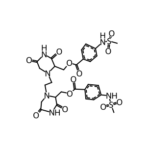 CS(=O)(=O)Nc1ccc(C(=O)OCC2C(=O)NC(=O)CN2CCN2CC(=O)NC(=O)C2COC(=O)c2ccc(NS(C)(=O)=O)cc2)cc1